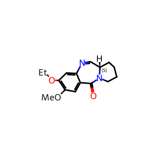 CCOc1cc2c(cc1OC)C(=O)N1CCCC[C@H]1C=N2